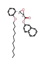 CCCCCCCCCCCOc1ccccc1[C@@H]1O[C@H]1C(=O)Oc1ccc2ccccc2c1